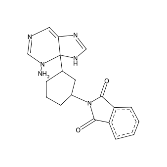 NN1C=NC=C2N=CNC21C1CCCC(N2C(=O)c3ccccc3C2=O)C1